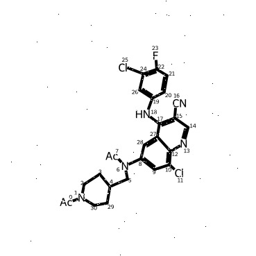 CC(=O)N1CCC(CN(C(C)=O)c2cc(Cl)c3ncc(C#N)c(Nc4ccc(F)c(Cl)c4)c3c2)CC1